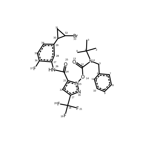 CC(C)(C)N(Cc1ccccc1)C(=O)On1nc(C(F)(F)F)cc1C(=O)Nc1cc(C2CC2Br)ccc1F